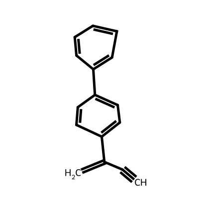 C#CC(=C)c1ccc(-c2ccccc2)cc1